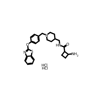 Cl.Cl.NC1CCC1C(=O)NCC1CCN(Cc2ccc(Oc3nc4ccccc4s3)cc2)CC1